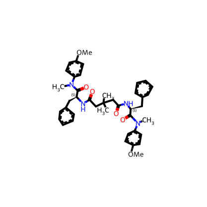 COc1ccc(N(C)C(=O)[C@H](Cc2ccccc2)NC(=O)CC(C)(C)CC(=O)N[C@@H](Cc2ccccc2)C(=O)N(C)c2ccc(OC)cc2)cc1